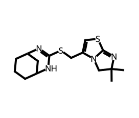 CC1(C)CN2C(CSC3=NC4CCCC(C4)N3)=CSC2=N1